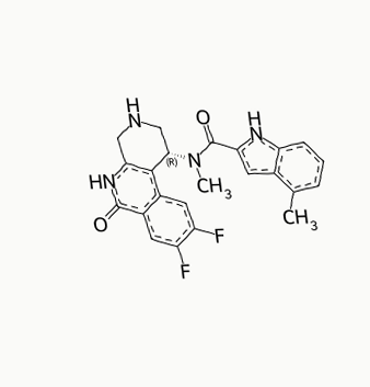 Cc1cccc2[nH]c(C(=O)N(C)[C@H]3CNCc4[nH]c(=O)c5cc(F)c(F)cc5c43)cc12